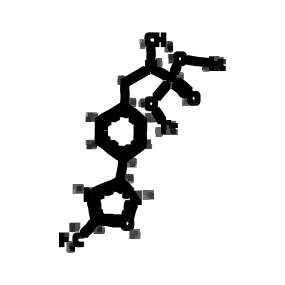 CCOP(=O)(OCC)N(C)Cc1ccc(-c2noc(C(F)(F)F)n2)cc1